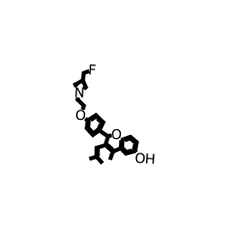 CC(C)=CC1=C(C)c2cc(O)ccc2OC1c1ccc(OCCN2CC(CF)C2)cc1